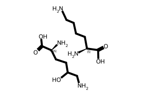 NCC(O)CC[C@H](N)C(=O)O.NCCCC[C@H](N)C(=O)O